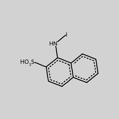 O=S(=O)(O)c1ccc2ccccc2c1NI